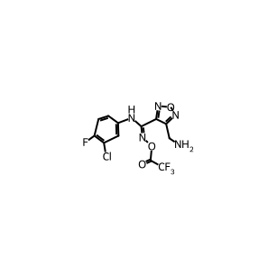 NCc1nonc1C(=NOC(=O)C(F)(F)F)Nc1ccc(F)c(Cl)c1